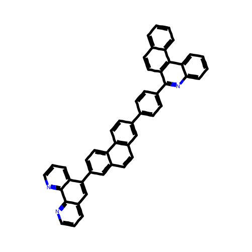 c1ccc2c(c1)ccc1c(-c3ccc(-c4ccc5c(ccc6cc(-c7cc8cccnc8c8ncccc78)ccc65)c4)cc3)nc3ccccc3c12